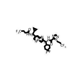 O=C(CCC(F)(F)F)N[C@@H](c1cnn2cc([C@@H](NC(=O)c3ncnn3CCC(F)(F)F)C3CCC(F)(F)CC3)nc2c1)C1CC1